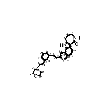 O=C1NCCCc2[nH]c3c(ccc4cnc(C=Cc5cccc(CCN6CCOCC6)c5)cc43)c21